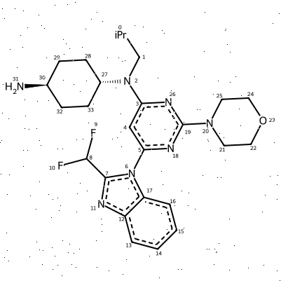 CC(C)CN(c1cc(-n2c(C(F)F)nc3ccccc32)nc(N2CCOCC2)n1)[C@H]1CC[C@H](N)CC1